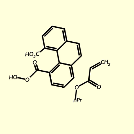 C=CC(=O)OCCC.O=C(O)c1cccc2ccc3cccc(C(=O)OO)c3c12